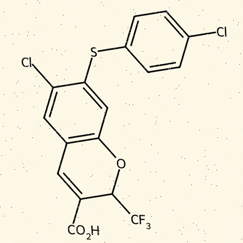 O=C(O)C1=Cc2cc(Cl)c(Sc3ccc(Cl)cc3)cc2OC1C(F)(F)F